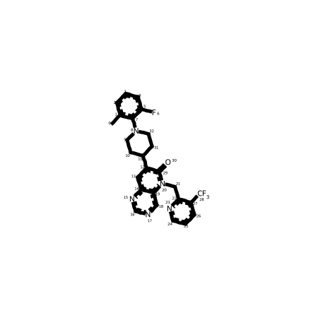 Cc1cccc(F)c1N1CCC(c2cc3ncncc3n(Cc3ncccc3C(F)(F)F)c2=O)CC1